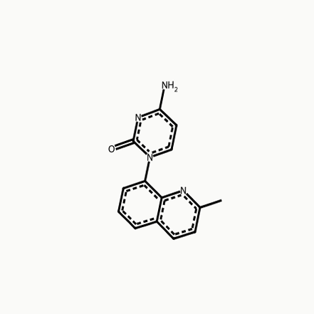 Cc1ccc2cccc(-n3ccc(N)nc3=O)c2n1